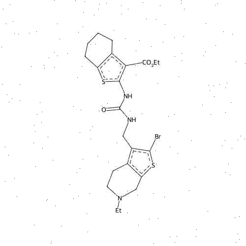 CCOC(=O)c1c(NC(=O)NCc2c(Br)sc3c2CCN(CC)C3)sc2c1CCCC2